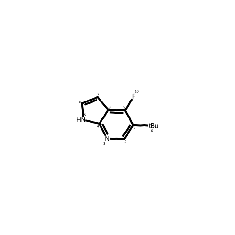 CC(C)(C)c1cnc2[nH]ccc2c1F